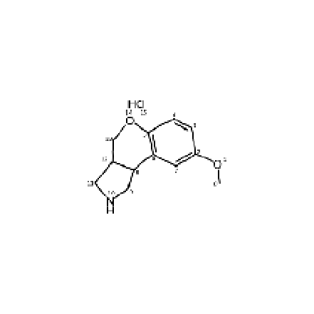 COc1ccc2c(c1)C1CNCC1CO2.Cl